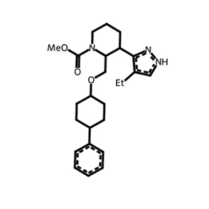 CCc1c[nH]nc1C1CCCN(C(=O)OC)C1COC1CCC(c2ccccc2)CC1